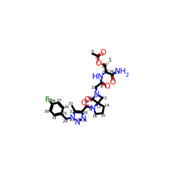 CC(=O)O[C@H](C)[C@H](NC(=O)CN1CC2(CCCN2C(=O)c2nnn(Cc3ccc(F)cc3)c2C)C1=O)C(N)=O